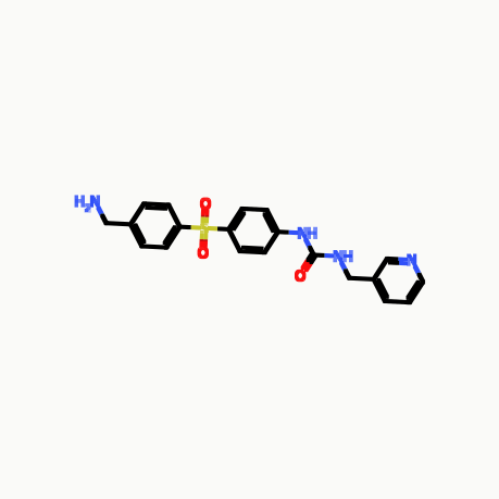 NCc1ccc(S(=O)(=O)c2ccc(NC(=O)NCc3cccnc3)cc2)cc1